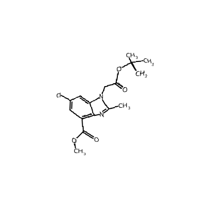 COC(=O)c1cc(Cl)cc2c1nc(C)n2CC(=O)OC(C)(C)C